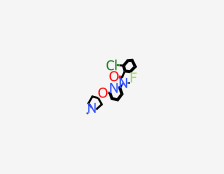 CN1CCC(Oc2cccc(N(C)C(=O)c3c(F)cccc3Cl)n2)CC1